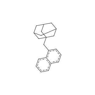 c1ccc2c(CC34CC5CC(CC(C5)C3)C4)cccc2c1